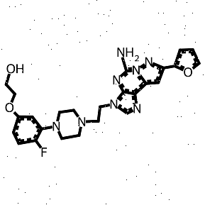 Nc1nc2c(ncn2CCN2CCN(c3cc(OCCO)ccc3F)CC2)c2cc(-c3ccco3)nn12